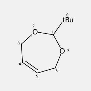 CC(C)(C)C1OCC=CCO1